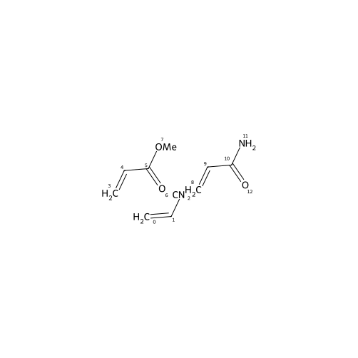 C=CC#N.C=CC(=O)OC.C=CC(N)=O